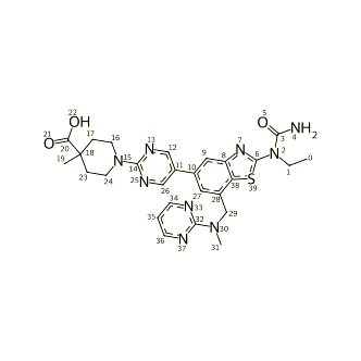 CCN(C(N)=O)c1nc2cc(-c3cnc(N4CCC(C)(C(=O)O)CC4)nc3)cc(CN(C)c3ncccn3)c2s1